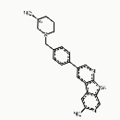 N#Cc1cc2c(cn1)[nH]c1ncc(-c3ccc(CN4CCC[C@H](O)C4)cc3)cc12